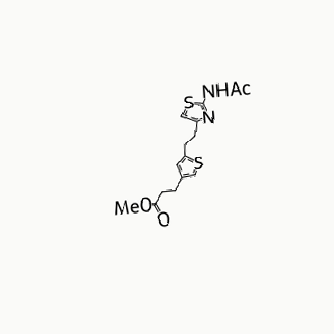 COC(=O)CCc1csc(CCc2csc(NC(C)=O)n2)c1